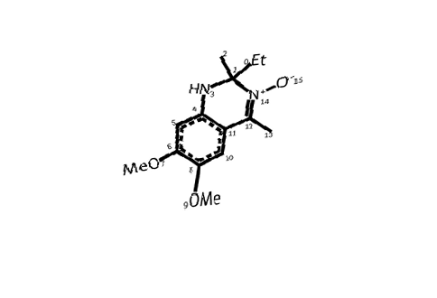 CCC1(C)Nc2cc(OC)c(OC)cc2C(C)=[N+]1[O-]